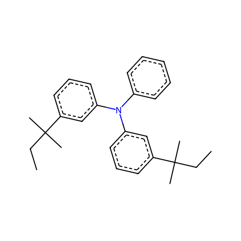 CCC(C)(C)c1cccc(N(c2ccccc2)c2cccc(C(C)(C)CC)c2)c1